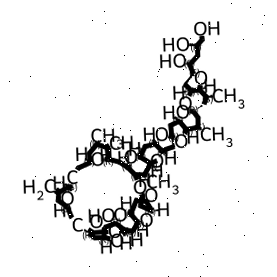 C=C1C[C@@H]2CC[C@@]34C[C@H]5O[C@H]6[C@@H](O3)[C@H]3O[C@H](CC[C@@H]3O[C@@]6(O)C5O4)CC(=O)O[C@@H]3[C@@H](C)[C@@H]4O[C@@H]5C[C@]6(C[C@@H]7O[C@]8(C[C@H](C)[C@@H]9O[C@H]([C@@H](O)C[C@@H](O)CO)C[C@@H]9O8)C[C@H](C)[C@@H]7O6)O[C@@H]5C[C@@H]4O[C@H]3C[C@H]3O[C@@H](CC[C@@H]1O2)C[C@@H](C)C3=C